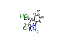 CCc1c(CCl)c(N)nc2ccc(C)cc12.Cl